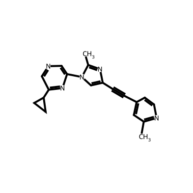 Cc1cc(C#Cc2cn(-c3cncc(C4CC4)n3)c(C)n2)ccn1